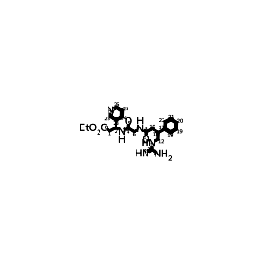 CCOC(=O)CC(NC(=O)CNC(=O)CC(CNC(=N)N)c1ccccc1)c1cccnc1